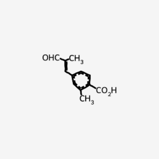 CC(C=O)=Cc1ccc(C(=O)O)c(C)c1